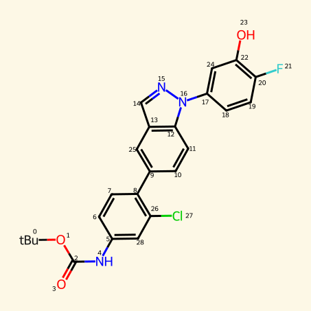 CC(C)(C)OC(=O)Nc1ccc(-c2ccc3c(cnn3-c3ccc(F)c(O)c3)c2)c(Cl)c1